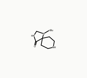 CCCCN1CNC(=O)C12CCNCC2